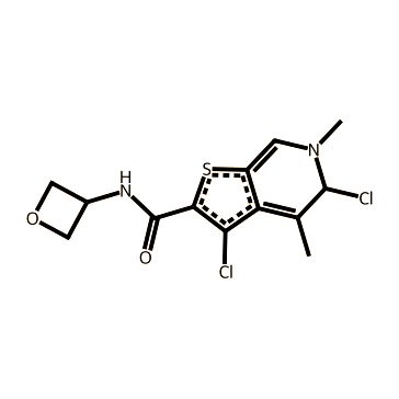 CC1=c2c(Cl)c(C(=O)NC3COC3)sc2=CN(C)C1Cl